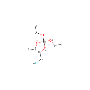 CCO[Si](OCC)(OCC)OCCF